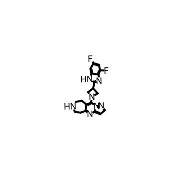 Fc1cc(F)c2nc(C3CN(c4c5c(nc6ccnn46)CCNCC5)C3)[nH]c2c1